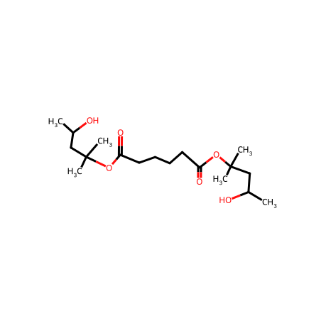 CC(O)CC(C)(C)OC(=O)CCCCC(=O)OC(C)(C)CC(C)O